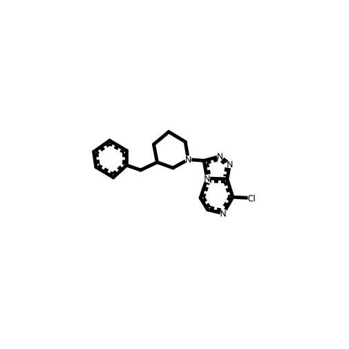 Clc1nccn2c(N3CCCC(Cc4ccccc4)C3)nnc12